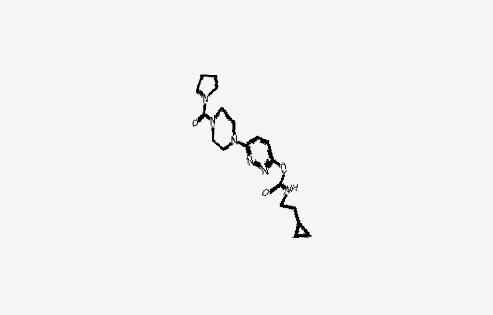 O=C(NCCC1CC1)Oc1ccc(N2CCN(C(=O)N3CCCC3)CC2)nn1